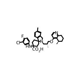 Cc1ccc2c(c1)CN(C[C@@H](C)COc1ccnc3c1[C@H](C)CCC3)C21CCC(Nc2ccc(F)c(Cl)c2)(C(=O)O)CC1